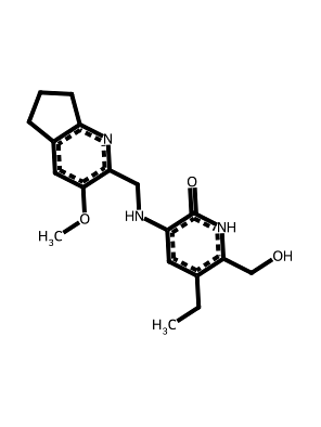 CCc1cc(NCc2nc3c(cc2OC)CCC3)c(=O)[nH]c1CO